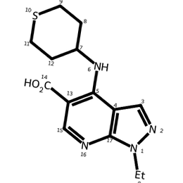 CCn1ncc2c(NC3CCSCC3)c(C(=O)O)cnc21